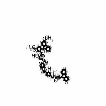 COc1ccc(C(OCC2OC(n3cnc4c(NC(=O)c5ccc(CNC(=O)OCC6c7ccccc7-c7ccccc76)cc5)ncnc43)CC2O)(c2ccccc2)c2ccc(OC)cc2)cc1